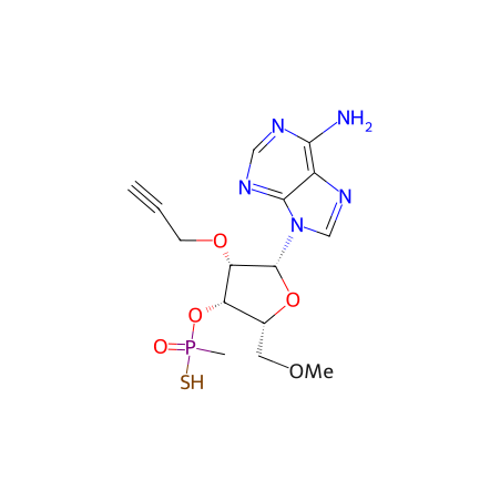 C#CCO[C@H]1[C@@H](OP(C)(=O)S)[C@@H](COC)O[C@H]1n1cnc2c(N)ncnc21